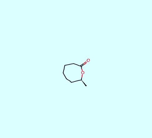 C[C@H]1CCCCCC(=O)O1